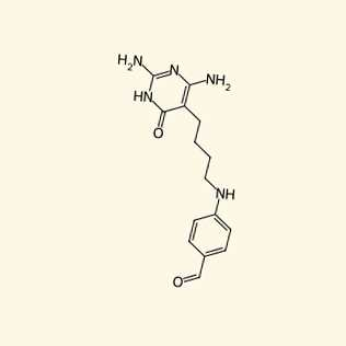 Nc1nc(N)c(CCCCNc2ccc(C=O)cc2)c(=O)[nH]1